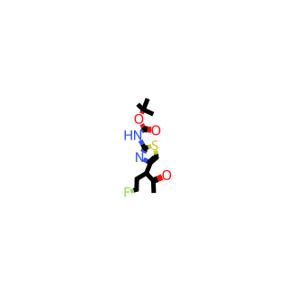 CC(=O)C(CCF)c1csc(NC(=O)OC(C)(C)C)n1